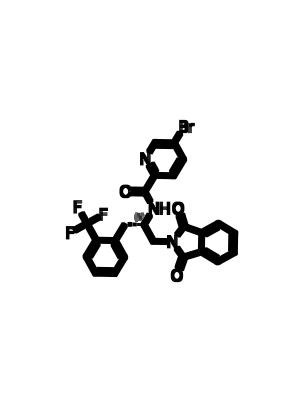 O=C(N[C@@H](Cc1ccccc1C(F)(F)F)CN1C(=O)c2ccccc2C1=O)c1ccc(Br)cn1